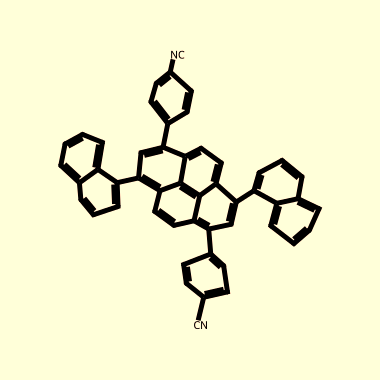 [C-]#[N+]c1ccc(-c2cc(-c3cccc4ccccc34)c3ccc4c(-c5ccc(C#N)cc5)cc(-c5cccc6ccccc56)c5ccc2c3c45)cc1